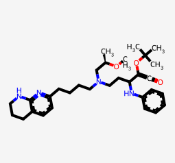 CO[C@H](C)CN(CCCCc1ccc2c(n1)NCCC2)CCC(Nc1ccccc1)C(=C=O)OC(C)(C)C